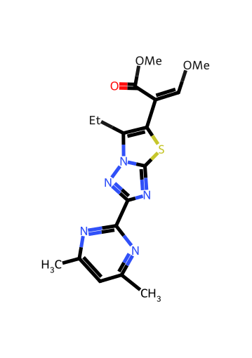 CCc1c(/C(=C/OC)C(=O)OC)sc2nc(-c3nc(C)cc(C)n3)nn12